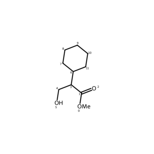 COC(=O)C(CO)C1CCCCC1